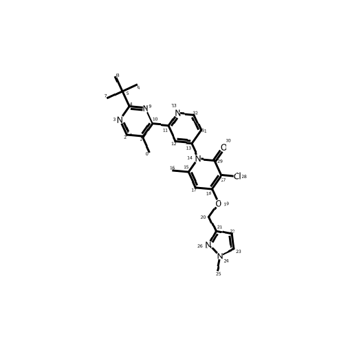 Cc1cnc(C(C)(C)C)nc1-c1cc(-n2c(C)cc(OCc3ccn(C)n3)c(Cl)c2=O)ccn1